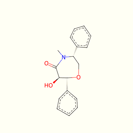 CN1C(=O)[C@H](O)[C@@H](c2ccccc2)OC[C@H]1c1ccccc1